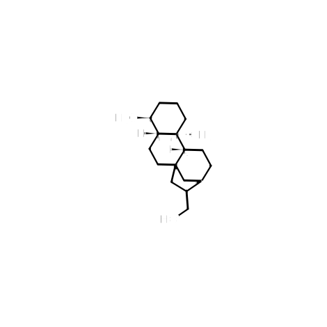 C[C@H]1CCC[C@]2(C)[C@@H]1CCC13CC(CO)C(CC[C@H]12)C3